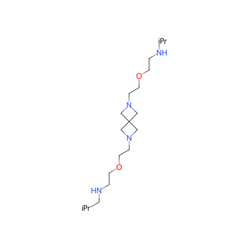 CC(C)CNCCOCCN1CC2(C1)CN(CCOCCNC(C)C)C2